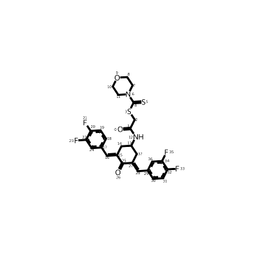 O=C(CSC(=S)N1CCOCC1)NC1CC(=Cc2ccc(F)c(F)c2)C(=O)C(=Cc2ccc(F)c(F)c2)C1